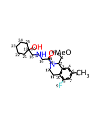 COCC1c2cc(C)cc(F)c2CCN1C(=O)CNCC1(O)CCCCC1